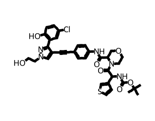 CC(C)(C)OC(=O)NC(C(=O)N1CCOCC1C(=O)Nc1ccc(C#Cc2cn(CCO)nc2-c2cc(Cl)ccc2O)cc1)c1ccsc1